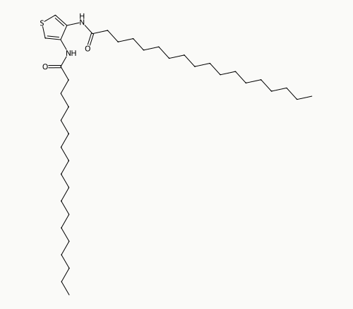 CCCCCCCCCCCCCCCCCC(=O)Nc1cscc1NC(=O)CCCCCCCCCCCCCCCCC